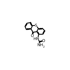 NC(=O)Nc1cccc2sc3ccccc3c(=O)c12